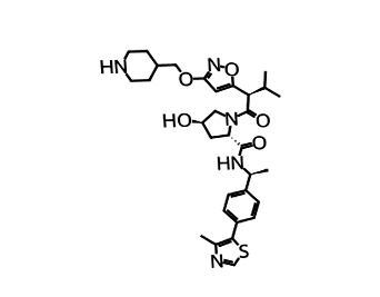 Cc1ncsc1-c1ccc([C@H](C)NC(=O)[C@@H]2C[C@@H](O)CN2C(=O)[C@@H](c2cc(OCC3CCNCC3)no2)C(C)C)cc1